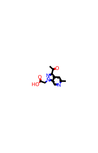 CC(=O)c1nn(CC(=O)O)c2cnc(C)cc12